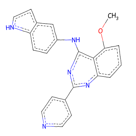 COc1cccc2nc(-c3ccncc3)nc(Nc3ccc4[nH]ccc4c3)c12